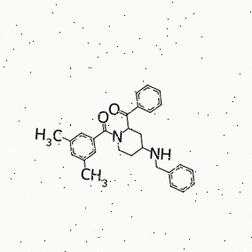 Cc1cc(C)cc(C(=O)N2CCC(NCc3ccccc3)CC2C(=O)c2ccccc2)c1